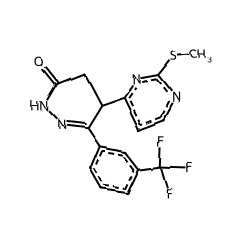 CSc1nccc(C2CC(=O)NN=C2c2cccc(C(F)(F)F)c2)n1